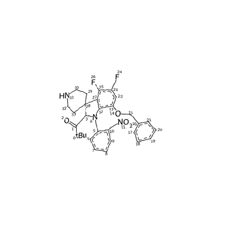 CC(C)(C)C(=O)C1N(c2ccccc2[N+](=O)[O-])c2c(OCc3ccccc3)cc(F)c(F)c2C12CCNCC2